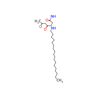 CCCCCCCCCCCCCCCCCCNC(CC([NH])=O)C(=O)CC(C)=O